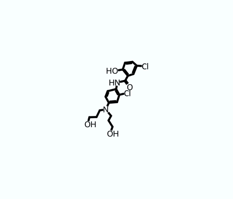 O=C(Nc1ccc(N(CCCO)CCCO)cc1Cl)c1cc(Cl)ccc1O